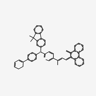 C=C(\C=C/C(=C\C)C(/C)=C/C=c1\c(=C)c2ccccc2c2ccccc12)N(c1ccc(C2=CC=CCC2)cc1)c1ccc2c(c1)C(C)(C)c1ccccc1-2